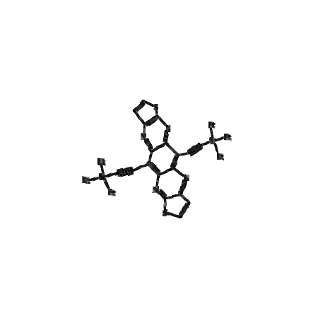 CC[Si](C#Cc1c2nc3ccsc3nc2c(C#C[Si](CC)(CC)CC)c2nc3ccsc3nc12)(CC)CC